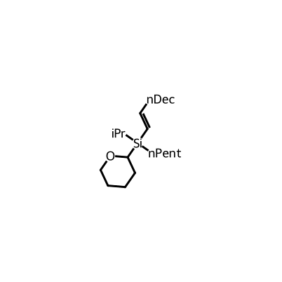 CCCCCCCCCCC=C[Si](CCCCC)(C(C)C)C1CCCCO1